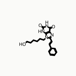 O=c1[nH]c(=O)c2nc(C=Cc3ccccc3)n(CCCCCCO)c2[nH]1